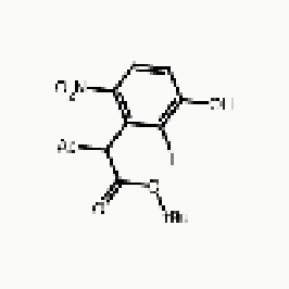 CC(=O)C(C(=O)OC(C)(C)C)c1c([N+](=O)[O-])ccc(O)c1F